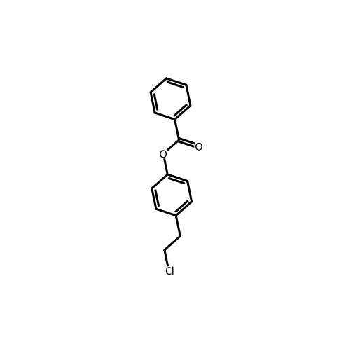 O=C(Oc1ccc(CCCl)cc1)c1ccccc1